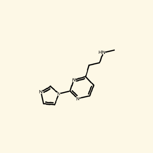 CNCCc1ccnc(-n2ccnc2)n1